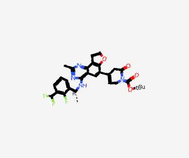 Cc1nc(N[C@H](C)c2cccc(C(F)F)c2F)c2cc(C3=CCN(C(=O)OC(C)(C)C)C(=O)C3)c3c(c2n1)CCO3